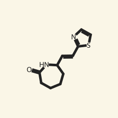 O=C1CCCCC(C=Cc2nccs2)N1